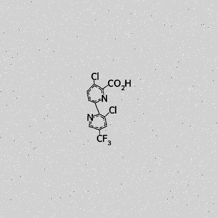 O=C(O)c1nc(-c2ncc(C(F)(F)F)cc2Cl)ccc1Cl